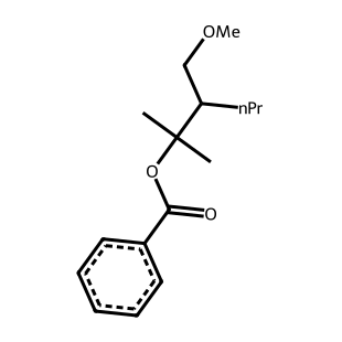 CCCC(COC)C(C)(C)OC(=O)c1ccccc1